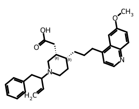 C=CC(Cc1ccccc1)N1CC[C@@H](CCCc2ccnc3ccc(OC)cc23)[C@@H](CC(=O)O)C1